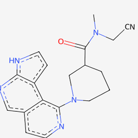 CN(CC#N)C(=O)C1CCCN(c2nccc3cnc4[nH]ccc4c23)C1